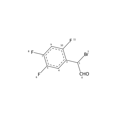 O=CC(Br)c1cc(F)c(F)cc1F